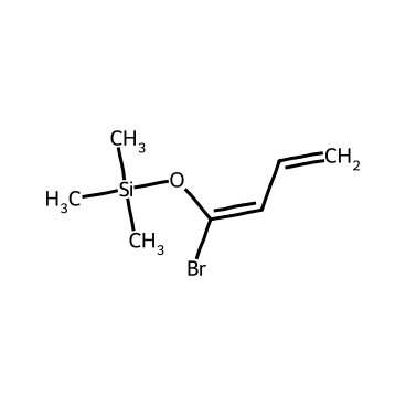 C=C/C=C(/Br)O[Si](C)(C)C